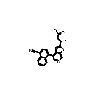 C[C@@H](CC(=O)O)c1cc2c(-c3ccc(C#N)c4ccccc34)cncc2s1